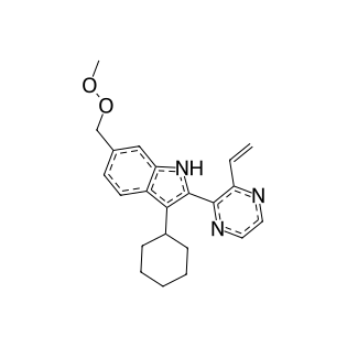 C=Cc1nccnc1-c1[nH]c2cc(COOC)ccc2c1C1CCCCC1